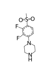 CS(=O)(=O)c1ccc(N2CCNCC2)c(F)c1F